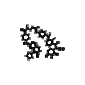 Cc1c(C(=O)N(C=O)C2CCC(=O)NC2=O)cccc1N(C)c1ccc(CN(C)CCN(C)[S+]([O-])N2CCC(Nc3ncc4ccc(=O)n(C5CCCC5)c4n3)CC2)cc1